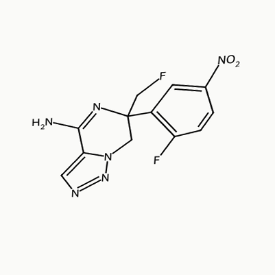 NC1=NC(CF)(c2cc([N+](=O)[O-])ccc2F)Cn2nncc21